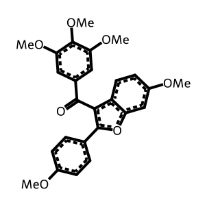 COc1ccc(-c2oc3cc(OC)ccc3c2C(=O)c2cc(OC)c(OC)c(OC)c2)cc1